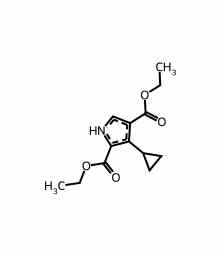 CCOC(=O)c1c[nH]c(C(=O)OCC)c1C1CC1